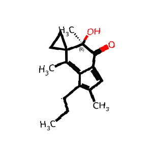 CC[CH]C1=C(C)C=C2C(=O)[C@](C)(O)C3(CC3)C(C)=C21